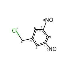 O=Nc1cc(CCl)cc(N=O)c1